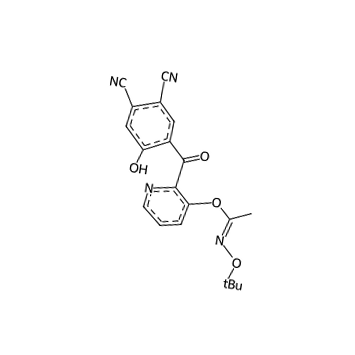 CC(=NOC(C)(C)C)Oc1cccnc1C(=O)c1cc(C#N)c(C#N)cc1O